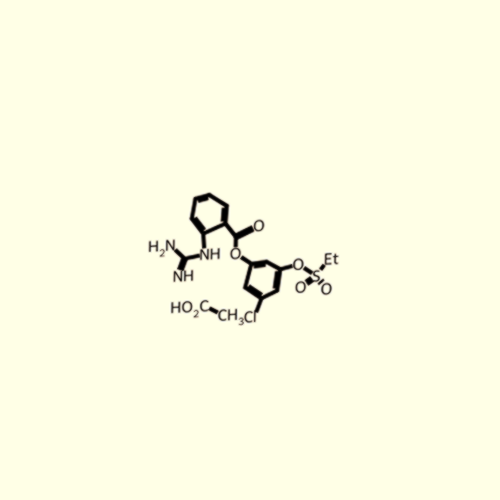 CC(=O)O.CCS(=O)(=O)Oc1cc(Cl)cc(OC(=O)c2ccccc2NC(=N)N)c1